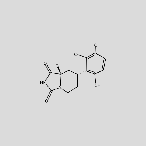 O=C1NC(=O)N2CC[C@@H](c3c(O)ccc(Cl)c3Cl)C[C@@H]12